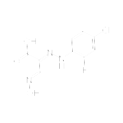 O=C(O)C(/C=N/O)=N/Nc1ccc(Cl)cc1F